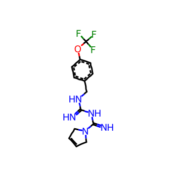 N=C(NCc1ccc(OC(F)(F)F)cc1)NC(=N)N1CC=CC1